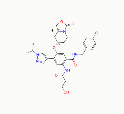 O=C(CCO)Nc1cc(-c2cnn(C(F)F)c2)c(O[C@H]2CCN3C(=O)OC[C@@H]3C2)cc1C(=O)NCc1ccc(Cl)cc1